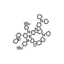 CC(C)(C)c1ccc(N2c3cc4oc5ccccc5c4cc3B3c4cc5c6cc(N(c7ccccc7)c7ccccc7)cc7c8cc(N(c9ccccc9)c9ccccc9)ccc8n(c5cc4N(c4ccc(C(C)(C)C)cc4)c4cc(-c5cccc8c5oc5ccccc58)cc2c43)c76)cc1